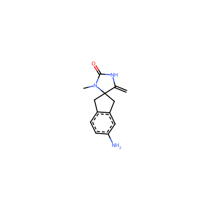 C=C1NC(=O)N(C)C12Cc1ccc(N)cc1C2